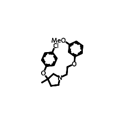 COc1cccc(OCCN2CCC(C)(Oc3ccc(Cl)cc3)C2)c1